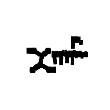 CCCCCCCC.CCCCCCCC.CCCCCCCC.CN.CN.O=S(O)S(=O)O